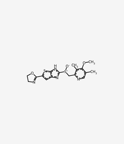 COc1c(C)cnc(C[S+]([O-])c2nc3cc(C4=NCCO4)sc3[nH]2)c1C